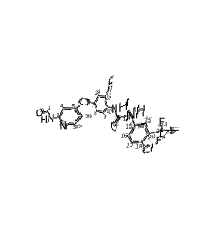 O=CNc1cc(Oc2ccc(NC(=O)Nc3ccc(Cl)c(C(F)(F)F)c3)c(F)c2)ccn1